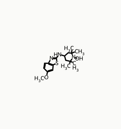 COc1ccc2nc(NC3CC(C)(C)N(O)C(C)(C)C3)sc2c1